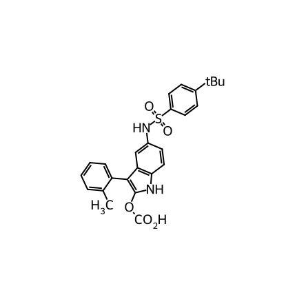 Cc1ccccc1-c1c(OC(=O)O)[nH]c2ccc(NS(=O)(=O)c3ccc(C(C)(C)C)cc3)cc12